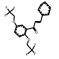 O=C(C=Cc1ccccc1)c1cc(OCC(F)(F)F)ccc1OCC(F)(F)F